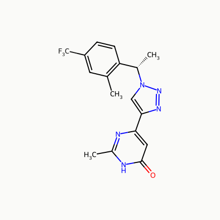 Cc1nc(-c2cn([C@@H](C)c3ccc(C(F)(F)F)cc3C)nn2)cc(=O)[nH]1